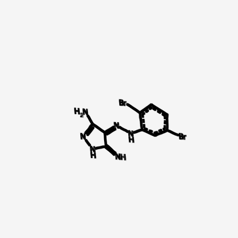 N=C1NN=C(N)/C1=N/Nc1cc(Br)ccc1Br